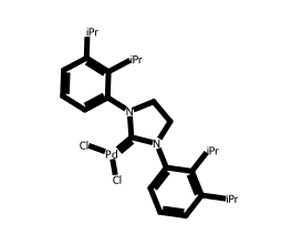 CC(C)c1cccc(N2CCN(c3cccc(C(C)C)c3C(C)C)[C]2=[Pd]([Cl])[Cl])c1C(C)C